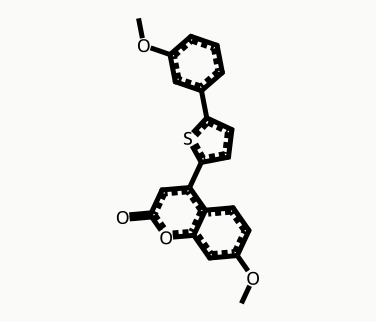 COc1cccc(-c2ccc(-c3cc(=O)oc4cc(OC)ccc34)s2)c1